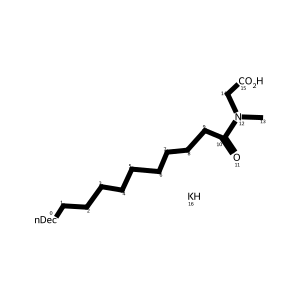 CCCCCCCCCCCCCCCCCCCC(=O)N(C)CC(=O)O.[KH]